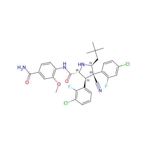 COc1cc(C(N)=O)ccc1NC(=O)[C@@H]1N[C@@H](CC(C)(C)C)[C@](C#N)(c2ccc(Cl)cc2F)[C@H]1c1cccc(Cl)c1F